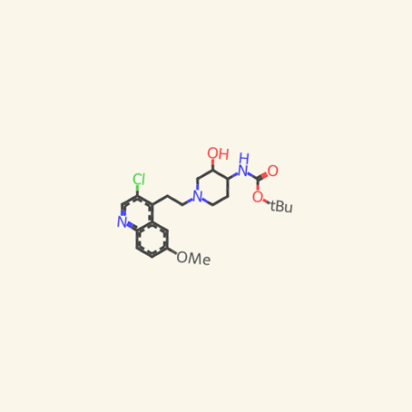 COc1ccc2ncc(Cl)c(CCN3CCC(NC(=O)OC(C)(C)C)C(O)C3)c2c1